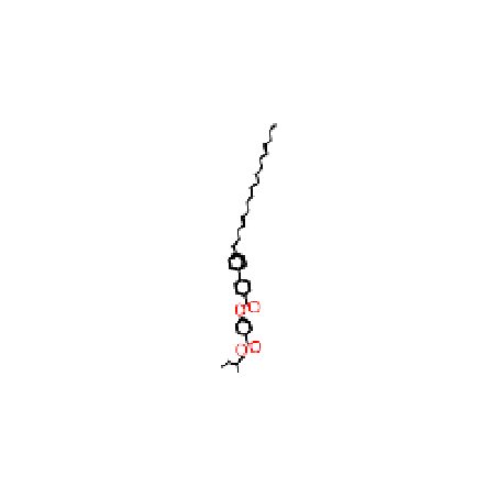 CCCCCCCCCCCCCCCCCCc1ccc(-c2ccc(C(=O)Oc3ccc(C(=O)OCC(C)CC)cc3)cc2)cc1